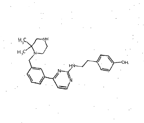 CC1(C)CNCCN1Cc1cccc(-c2ccnc(NCCc3ccc(O)cc3)n2)c1